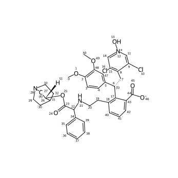 COc1ccc([C@H](Cc2c(Cl)c[n+](O)cc2Cl)c2c(CCNC(C(=O)O[C@H]3CN4CCC3CC4)c3ccccc3)cccc2C(=O)[O-])cc1OC